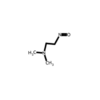 CN(C)CCN=O